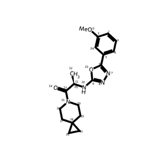 COc1cccc(-c2nnc(N[C@H](C)C(=O)N3CCC4(CC3)CC4)o2)c1